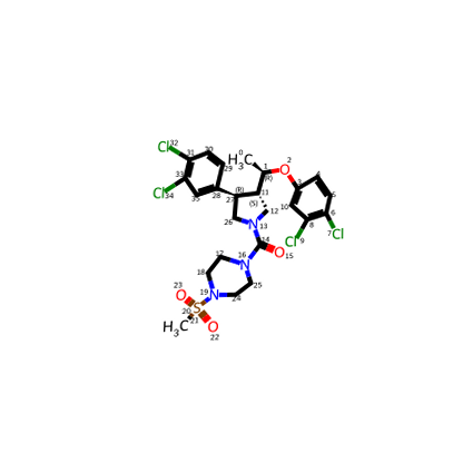 C[C@@H](Oc1ccc(Cl)c(Cl)c1)[C@@H]1CN(C(=O)N2CCN(S(C)(=O)=O)CC2)C[C@H]1c1ccc(Cl)c(Cl)c1